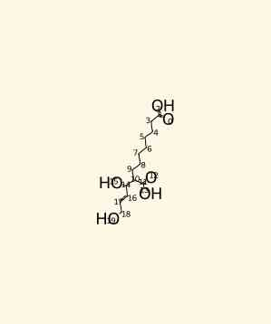 O=C(O)CCCCCCCC(C(=O)O)C(O)C=CCO